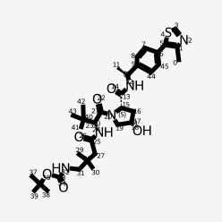 Cc1ncsc1-c1ccc([C@H](C)NC(=O)[C@@H]2C[C@@H](O)CN2C(=O)[C@@H](NC(=O)CC(C)(C)CNC(=O)OC(C)(C)C)C(C)(C)C)cc1